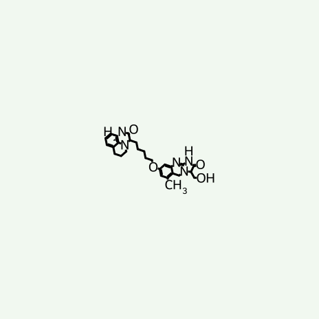 Cc1cc(OCCCCCC(C(N)=O)N2CCCc3ccccc32)cc2c1CN1C(=N2)NC(=O)C1CO